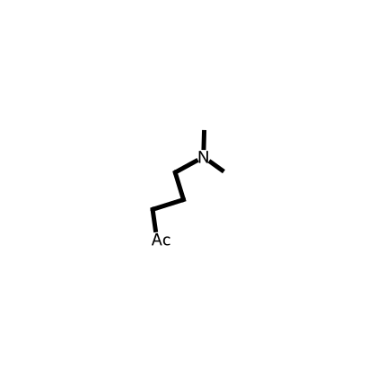 CC(=O)CCCN(C)C